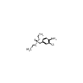 CCOP(=O)(Cc1ccc(N)c(Cl)c1)OCC